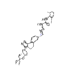 Cc1cccc(C)c1NC(=O)NS/N=C/c1ccc2c(c1)CCc1c-2nnn1-c1ccc(OC(F)(F)F)cc1